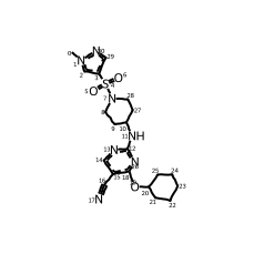 Cn1cc(S(=O)(=O)N2CCC(Nc3ncc(C#N)c(OC4CCCCC4)n3)CC2)cn1